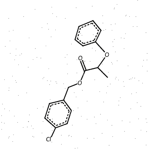 CC(Oc1ccccc1)C(=O)OCc1ccc(Cl)cc1